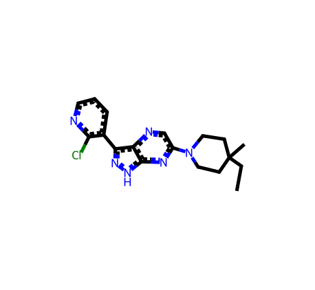 CCC1(C)CCN(c2cnc3c(-c4cccnc4Cl)n[nH]c3n2)CC1